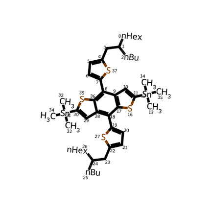 CCCCCCC(CCCC)Cc1ccc(-c2c3c[c]([Sn]([CH3])([CH3])[CH3])sc3c(-c3ccc(CC(CCCC)CCCCCC)s3)c3c[c]([Sn]([CH3])([CH3])[CH3])sc23)s1